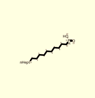 CCCCCCCCCCCCCCCCC[PH](=O)O